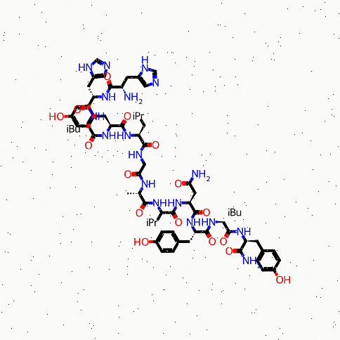 CC[C@H](C)[C@H](NC(=O)[C@H](Cc1ccc(O)cc1)NC(=O)[C@H](CC(N)=O)NC(=O)C(NC(=O)[C@H](C)NC(=O)CNC(=O)[C@H](CC(C)C)NC(=O)[C@H](Cc1ccc(O)cc1)NC(=O)[C@@H](NC(=O)[C@H](Cc1cnc[nH]1)NC(=O)[C@@H](N)Cc1cnc[nH]1)[C@@H](C)CC)C(C)C)C(=O)N[C@@H](Cc1ccc(O)cc1)C(N)=O